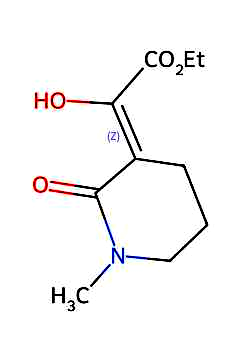 CCOC(=O)/C(O)=C1\CCCN(C)C1=O